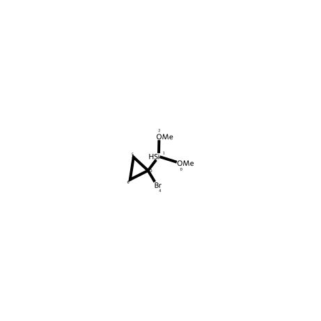 CO[SiH](OC)C1(Br)CC1